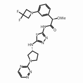 CO[C@@H](C(=O)Nc1nnc(N[C@@H]2CCN(c3nccnn3)C2)s1)c1cccc(N2CC(F)(F)C2)c1